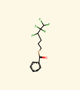 O=C(SCCCC(F)C(F)(F)C(F)F)c1ccccc1